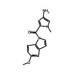 COc1ccc2c(ccn2C(=O)c2cc(N)cn2C)c1